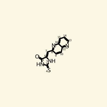 O=C1NC(=S)N/C1=C\c1ccc2ncccc2n1